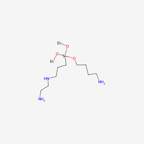 CCO[Si](CCCNCCN)(OCC)OCCCCN